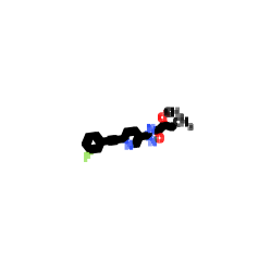 CCC(OC)c1nc(-c2ccc(C#Cc3cccc(F)c3)nc2)no1